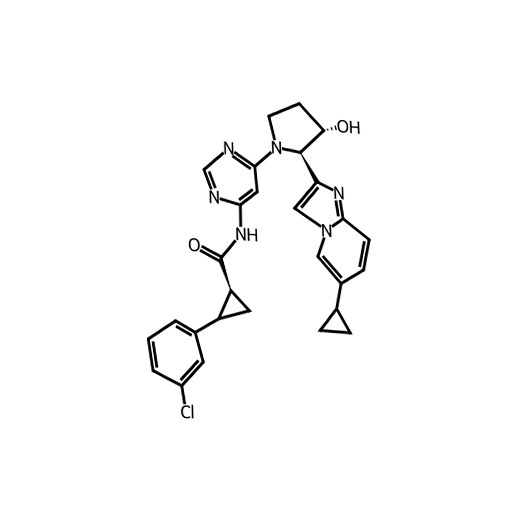 O=C(Nc1cc(N2CC[C@H](O)[C@H]2c2cn3cc(C4CC4)ccc3n2)ncn1)[C@H]1CC1c1cccc(Cl)c1